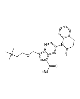 CC(C)(C)C(=O)c1cn(COCC[Si](C)(C)C)c2ncc(N3C(=O)CCc4ccccc43)nc12